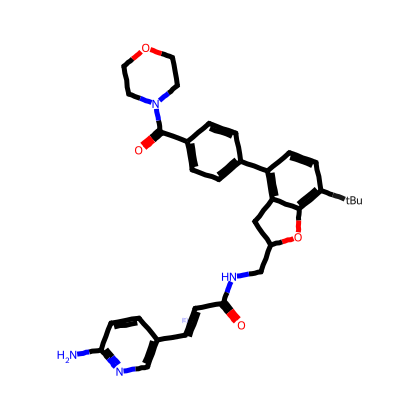 CC(C)(C)c1ccc(-c2ccc(C(=O)N3CCOCC3)cc2)c2c1OC(CNC(=O)/C=C/c1ccc(N)nc1)C2